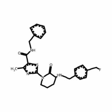 Cc1nc(N2CCCC(NCc3ccc(CF)cc3)C2=O)sc1C(=O)NCc1ccccc1